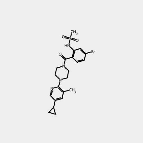 Cc1cc(C2CC2)cnc1N1CCN(C(=O)c2ccc(Br)cc2NS(C)(=O)=O)CC1